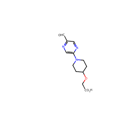 O=Cc1cnc(N2CCC(OCC(=O)O)CC2)cn1